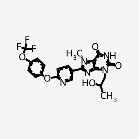 CC(O)Cn1c(=O)[nH]c(=O)c2c1nc(-c1ccc(Oc3ccc(OC(F)(F)F)cc3)nc1)n2C